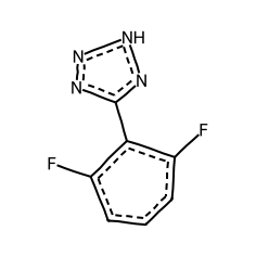 Fc1cccc(F)c1-c1nn[nH]n1